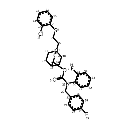 O=C(OC1C[N+]2(CCSc3ccccc3Cl)CCC1CC2)N(Cc1ccc(F)cc1)c1ccccc1F